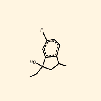 [CH2]CC1(O)CC(C)c2ccc(F)cc21